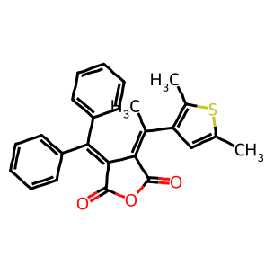 CC(=C1C(=O)OC(=O)C1=C(c1ccccc1)c1ccccc1)c1cc(C)sc1C